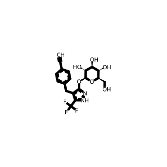 C#Cc1ccc(Cc2c(O[C@@H]3O[C@H](CO)[C@@H](O)[C@H](O)[C@H]3O)n[nH]c2C(F)(F)F)cc1